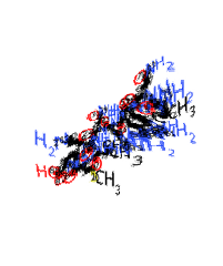 CSCC[C@H](NC(=O)[C@H](CC(C)C)NC(=O)[C@H](CCCCN)NC(=O)[C@H](CCC(N)=O)NC(=O)[C@H](CCCNC(=N)N)NC(=O)[C@H](CCCCN)NC(=O)[C@H](CCCNC(=N)N)NC(=O)[C@H](CCC(N)=O)NC(=O)[C@@H](N)C(C)C)C(=O)N1CCC[C@H]1C(=O)O